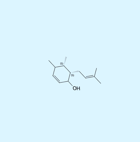 CC(C)=CC[C@@H]1C(O)C=CC(C)[C@@H]1C